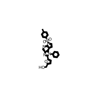 Cc1ccc(S(=O)(=O)n2ccc3c2ncc2nc(-c4ccc(CO)o4)n(-c4ccccc4)c23)cc1